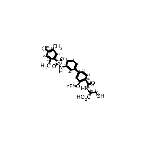 CCCOc1cc(-c2cccc(NS(=O)(=O)c3cc(C)c(Cl)cc3C)c2)ccc1C(=O)N[C@@H](CO)C(=O)O